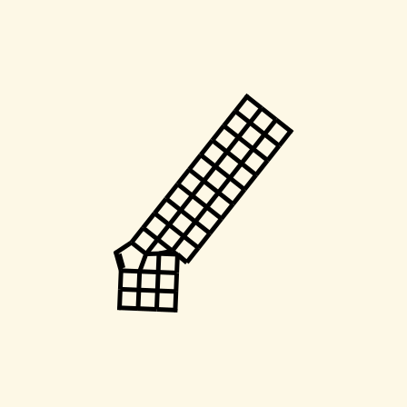 C1=C2C3CC4C5CC6C7C8C9C%10C%11C%12C%13C%14C%15C%16C%17CC%18C%19CC%20C%21C%22C%23C%24C%25C%26C%27C%28C1C1%29C2%30C34C56C7%30C81C91C%28%29C%272C%101C%111C%262C%252C%243C%234C%225C%216C%19%20C%18%17C%166C%155C%144C%133C%1212